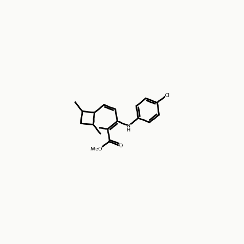 COC(=O)/C(C)=C(/C=C\C1C(C)CC1C)Nc1ccc(Cl)cc1